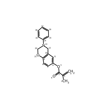 C=C(C)C(=O)Oc1ccc2c(c1)CN(c1ccccc1)CO2